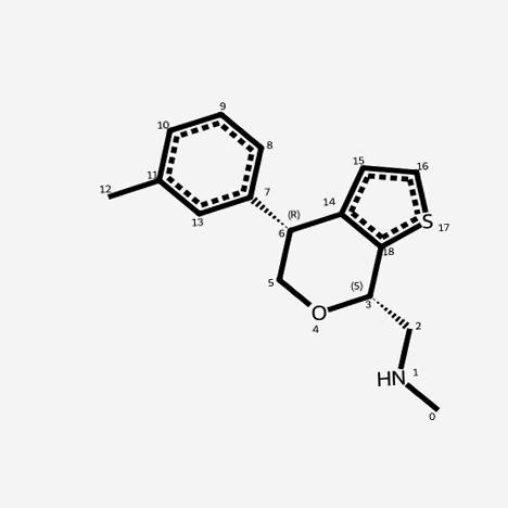 CNC[C@@H]1OC[C@H](c2cccc(C)c2)c2ccsc21